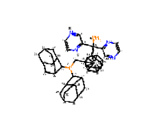 PC(c1cnccn1)(c1cnccn1)[C]12[CH]3[CH]4[CH]5[C]1(CP(C1C6CC7CC(C6)CC1C7)C1C6CC7CC(C6)CC1C7)[Fe]45321678[CH]2[CH]1[CH]6[CH]7[CH]28